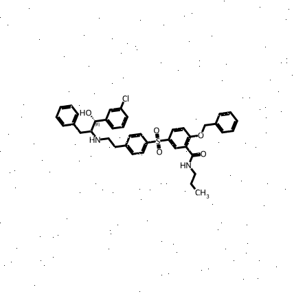 CCCNC(=O)c1cc(S(=O)(=O)c2ccc(CCNC(Cc3ccccc3)[C@H](O)c3cccc(Cl)c3)cc2)ccc1OCc1ccccc1